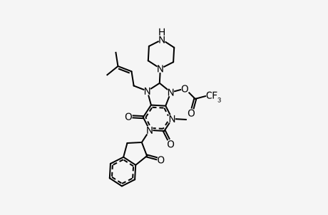 CC(C)=CCN1c2c(n(C)c(=O)n(C3Cc4ccccc4C3=O)c2=O)N(OC(=O)C(F)(F)F)C1N1CCNCC1